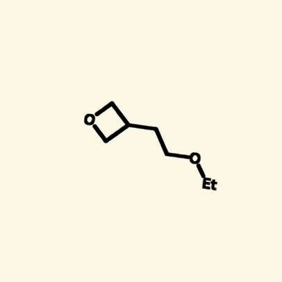 CCOCCC1COC1